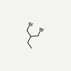 CCC(CBr)CBr